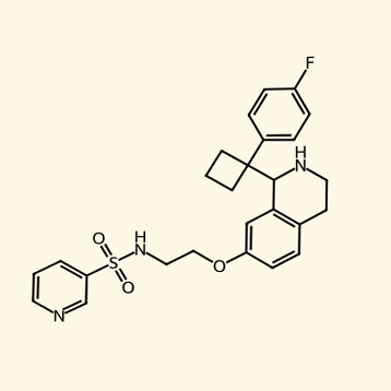 O=S(=O)(NCCOc1ccc2c(c1)C(C1(c3ccc(F)cc3)CCC1)NCC2)c1cccnc1